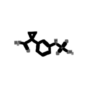 CS(=O)(=O)Nc1cccc(C2(C(N)=O)CC2)c1